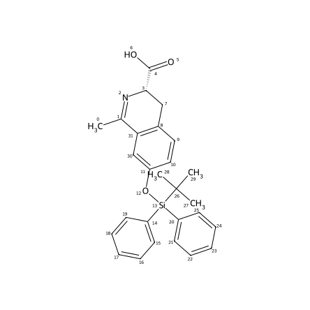 CC1=N[C@H](C(=O)O)Cc2ccc(O[Si](c3ccccc3)(c3ccccc3)C(C)(C)C)cc21